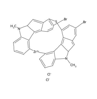 CN1c2ccc[c]3c2C2=c4ccc(Br)c(c4=CC21)Sc1cc(Br)cc2c1=C1c4[c](cccc4N(C)C1C=2)[Zr+2]3.[Cl-].[Cl-]